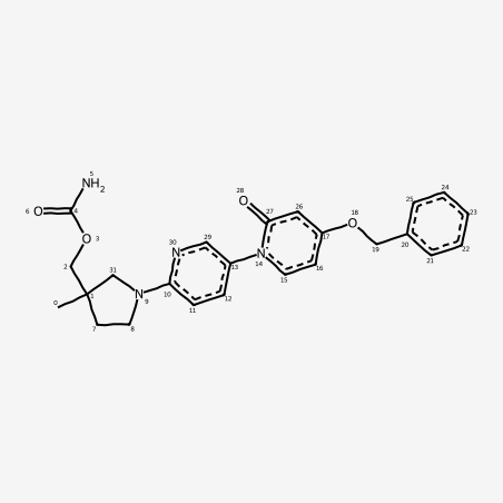 CC1(COC(N)=O)CCN(c2ccc(-n3ccc(OCc4ccccc4)cc3=O)cn2)C1